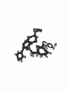 COc1ccc2c(c1)cc(-c1ccncc1)n2Cc1cccc(C(=O)O)n1